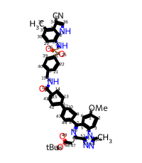 COc1ccc2c(c1)C(c1ccc(-c3ccc(C(=O)NCc4ccc(S(=O)(=O)Nc5ccc(C)c6c(C#N)c[nH]c56)cc4)cc3)cc1)=N[C@@H](CC(=O)OC(C)(C)C)c1nnc(C)n1-2